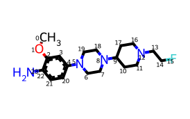 COc1cc(N2CCN(C3CCN(CCF)CC3)CC2)ccc1N